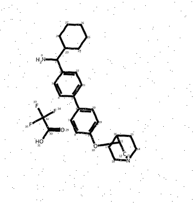 NC(c1ccc(-c2ccc(OC3CN4CCC3CC4)cc2)cc1)C1CCCCC1.O=C(O)C(F)(F)F